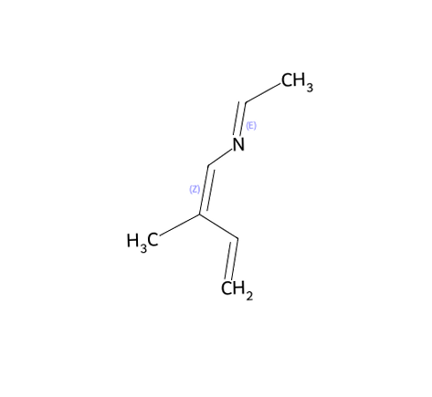 C=C/C(C)=C\N=C\C